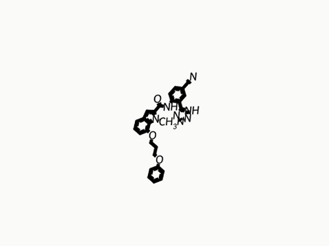 Cn1c(C(=O)Nc2ccc(C#N)cc2-c2nnn[nH]2)cc2cccc(OCCCOc3ccccc3)c21